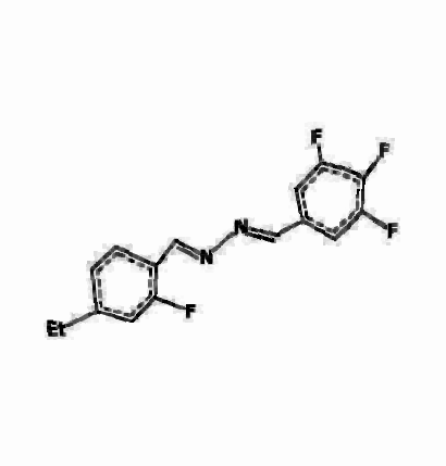 CCc1ccc(/C=N/N=C/c2cc(F)c(F)c(F)c2)c(F)c1